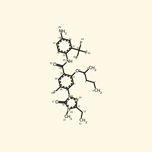 CCCC(C)Oc1cc(-n2nc(CC)n(C)c2=O)c(F)cc1C(=O)Nc1ccc(N)cc1C(F)(F)F